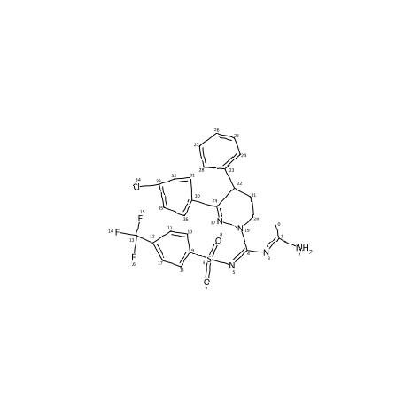 C/C(N)=N\C(=N\S(=O)(=O)c1ccc(C(F)(F)F)cc1)N1CCC(c2ccccc2)C(c2ccc(Cl)cc2)=N1